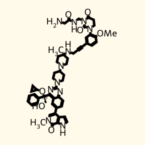 COc1ccc(C#CCNC2(C)CCN(C3CCN(c4nc([C@@](CO)(OC5CC5)c5ccccc5)c5cc(-c6cn(C)c(=O)c7[nH]ccc67)ccc5n4)CC3)CC2)cc1N1CCC(=O)N(CNC(=O)CN)C1=O